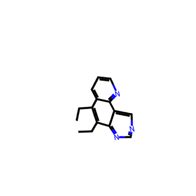 CCc1c(CC)c2ncncc2c2ncccc12